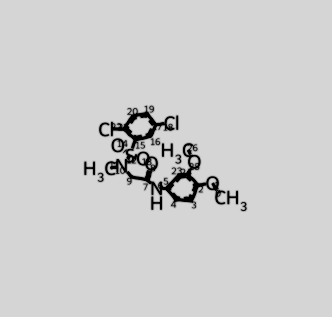 COc1ccc(NC(=O)CN(C)S(=O)(=O)c2cc(Cl)ccc2Cl)cc1OC